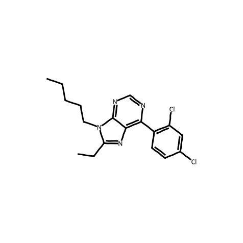 CCCCCn1c(CC)nc2c(-c3ccc(Cl)cc3Cl)ncnc21